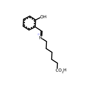 O=C(O)CCCCC/N=C/c1ccccc1O